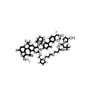 C[C@H](NC(=O)[C@@H]1C[C@@H](O)CN1C(=O)[C@@H](NC(=O)CCOCCCN1CCC[C@H]1COc1nc(N2CC3CCC(C2)N3)c2cc(C(F)(F)F)c(-c3ccc(F)c4sc(N)c(C#N)c34)c(F)c2n1)C(C)(C)C)c1ccc(-c2c(F)cc(F)cc2F)cc1